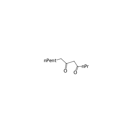 CCCCCCC(=O)CC(=O)CCC